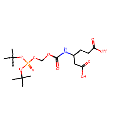 CC(C)(C)OP(=O)(OCOC(=O)NC(CCC(=O)O)CC(=O)O)OC(C)(C)C